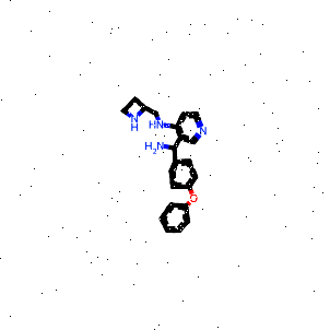 NC(c1ccc(Oc2ccccc2)cc1)c1cnccc1NCC1CCN1